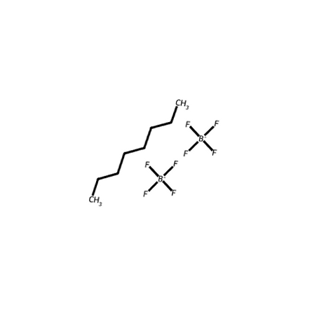 CCCCCCCC.F[B-](F)(F)F.F[B-](F)(F)F